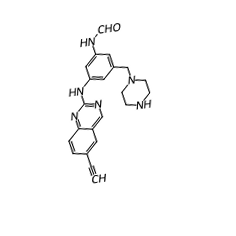 C#Cc1ccc2nc(Nc3cc(CN4CCNCC4)cc(NC=O)c3)ncc2c1